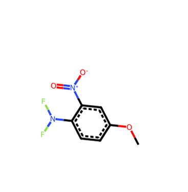 COc1ccc(N(F)F)c([N+](=O)[O-])c1